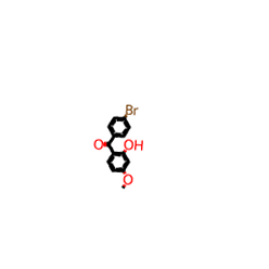 COc1ccc(C(=O)c2ccc(Br)cc2)c(O)c1